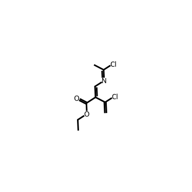 C=C(Cl)/C(=C\N=C(/C)Cl)C(=O)OCC